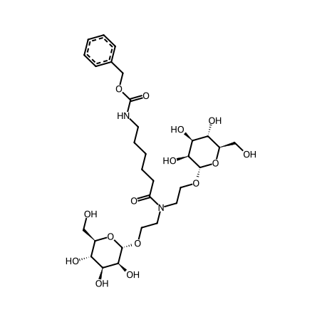 O=C(NCCCCCC(=O)N(CCO[C@H]1O[C@H](CO)[C@@H](O)[C@H](O)[C@@H]1O)CCO[C@H]1O[C@H](CO)[C@@H](O)[C@H](O)[C@@H]1O)OCc1ccccc1